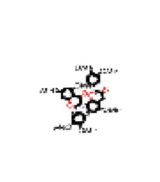 COc1cc(OC)c2c(c1)O[C@H](c1ccc(OC)c(OC)c1)[C@@H](c1c(OC)cc(OC)c3c1O[C@H](c1ccc(OC)c(OC)c1)C(=O)C3)C2=O